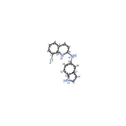 Clc1cccc2ccc(Nc3ccc4[nH]ccc4c3)nc12